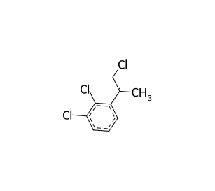 C[C](CCl)c1cccc(Cl)c1Cl